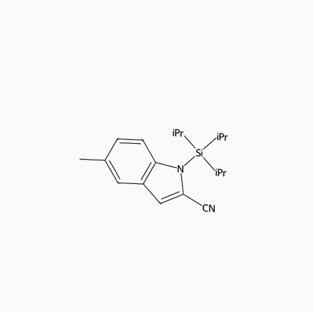 Cc1ccc2c(c1)cc(C#N)n2[Si](C(C)C)(C(C)C)C(C)C